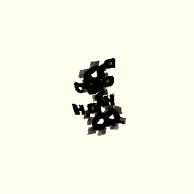 C[C@@H](NCCS(=O)(=O)c1cc(Cl)ccc1Cl)c1cccc2ccccc12